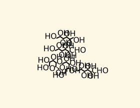 O=C(CO)[C@@H](O)[C@@H](O)[C@H](O)CO.O=C[C@H](O)[C@@H](O)[C@@H](O)[C@H](O)CO.O=C[C@H](O)[C@@H](O)[C@H](O)[C@H](O)CO.OC[C@H]1O[C@@H](O[C@H]2[C@H](O)[C@@H](O)[C@H](O)O[C@@H]2CO)[C@H](O)[C@@H](O)[C@H]1O